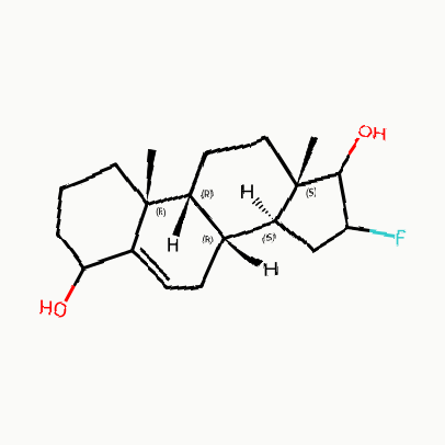 C[C@]12CCCC(O)C1=CC[C@@H]1[C@H]2CC[C@]2(C)C(O)C(F)C[C@@H]12